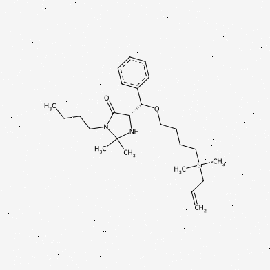 C=CC[Si](C)(C)CCCCOC(c1ccccc1)[C@@H]1NC(C)(C)N(CCCC)C1=O